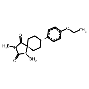 BN1C(=O)N(B)[C@]2(CC[C@@H](c3ccc(OCC)cc3)CC2)C1=O